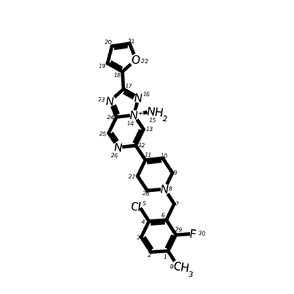 Cc1ccc(Cl)c(CN2CC=C(C3=C[N+]4(N)N=C(c5ccco5)N=C4C=N3)CC2)c1F